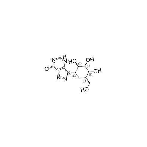 O=c1nc[nH]c2c1nnn2[C@H]1C[C@H](CO)[C@@H](O)[C@H](O)[C@@H]1O